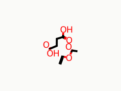 C=COC(C)=O.O=C(O)CCC(=O)O